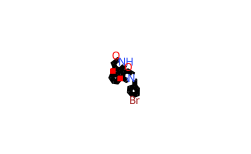 CC1CC(=O)NC(=O)C1(c1ccccc1)C1CCN(Cc2ccc(Br)cc2)CC1